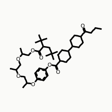 CCCC(=O)C1CCC(C2CCC(C(=O)Oc3ccc(OC(C)COC(C)COC(C)COC(=O)C(CC(C)(C)C)C(C)(C)C)cc3)CC2)CC1